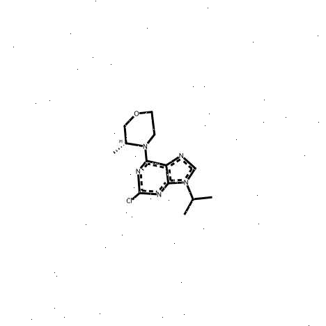 CC(C)n1cnc2c(N3CCOC[C@H]3C)nc(Cl)nc21